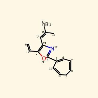 C=Cc1oc(C2=CC=CCC=C2)nc1/C=C(\C)CCCC